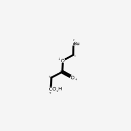 CCC(C)COC(=O)CC(=O)O